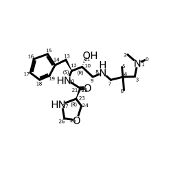 CN(C)CC(C)(C)CNC[C@@H](O)[C@H](Cc1ccccc1)NC(=O)[C@H]1COCN1